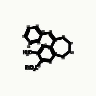 CCOC(=O)c1cc2c(nc1C)/C(=C\c1cccnc1)CCCC2